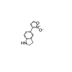 [O-][n+]1occc1-c1ccc2c(c1)CCN2